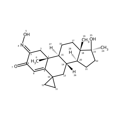 C[C@]12CC(=NO)C(=O)C=C1C1(CC1)C[C@@H]1[C@@H]2CC[C@@]2(C)[C@H]1CC[C@]2(C)O